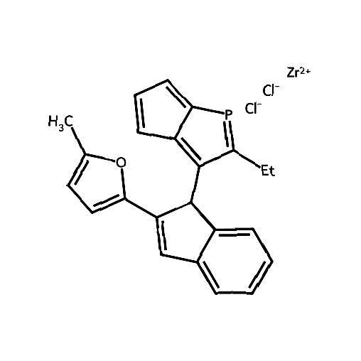 CCC1=PC2=CC=CC2=C1C1C(c2ccc(C)o2)=Cc2ccccc21.[Cl-].[Cl-].[Zr+2]